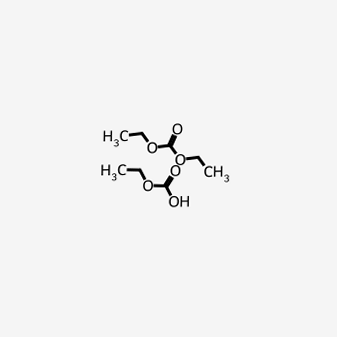 CCOC(=O)O.CCOC(=O)OCC